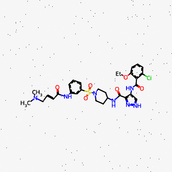 CCOc1cccc(Cl)c1C(=O)Nc1c[nH]nc1C(=O)NC1CCN(S(=O)(=O)c2cccc(NC(=O)C=CCN(C)C)c2)CC1